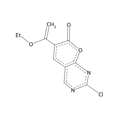 C=C(OCC)c1cc2cnc(Cl)nc2oc1=O